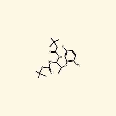 CC(Oc1cc(F)ccc1N)C(NC(=O)OC(C)(C)C)NC(=O)OC(C)(C)C